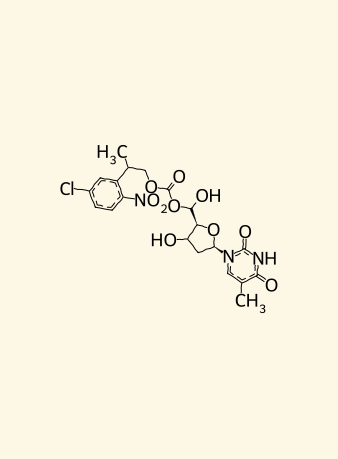 Cc1cn([C@H]2CC(O)[C@@H](C(O)OC(=O)OCC(C)c3cc(Cl)ccc3[N+](=O)[O-])O2)c(=O)[nH]c1=O